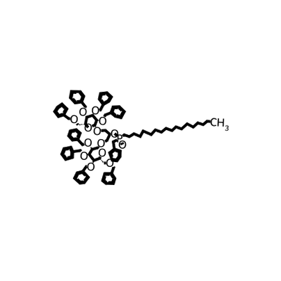 CCCCCCCCCCCCCCCCCCP(=O)(Cc1ccccc1)OC(CO[C@H]1O[C@H](COCc2ccccc2)[C@@H](OCc2ccccc2)[C@H](OCc2ccccc2)[C@@H]1OCc1ccccc1)CO[C@H]1O[C@H](COCc2ccccc2)[C@@H](OCc2ccccc2)[C@H](OCc2ccccc2)[C@@H]1OCc1ccccc1